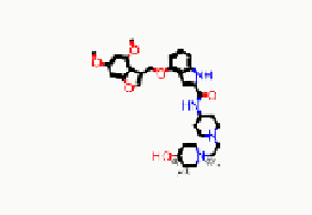 COc1cc(OC)c2c(COc3cccc4[nH]c(C(=O)NC5CCN(C[C@H](C)N6CC[C@H](O)[C@@H](C)C6)CC5)cc34)coc2c1